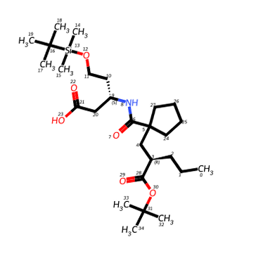 CCC[C@H](CC1(C(=O)N[C@@H](CCO[Si](C)(C)C(C)(C)C)CC(=O)O)CCCC1)C(=O)OC(C)(C)C